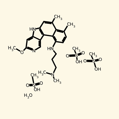 COc1cc2[nH]c3cc(C)c4c(C)ccc(NCCCN(C)C)c4c3c2cn1.CS(=O)(=O)O.CS(=O)(=O)O.CS(=O)(=O)O.O